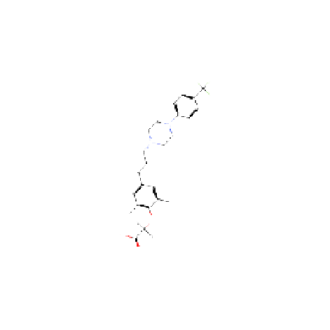 Cc1cc(CCCN2CCN(c3ccc(C(F)(F)F)cc3)CC2)cc(C)c1OC(C)(C)C(=O)O